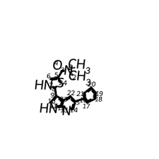 CN(C)C(=O)C1=CNC(c2c[nH]c3ncc(-c4ccccc4)cc23)S1